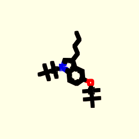 CCCCc1cn([Si](C)(C)C(C)(C)C)c2ccc(O[Si](C)(C)C(C)(C)C)cc12